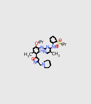 Cc1cc(OC(C)C)c(Nc2ncc(C)c(Nc3ccccc3S(=O)(=O)C(C)C)n2)cc1-c1cc(CN2CCC=CCC2)no1